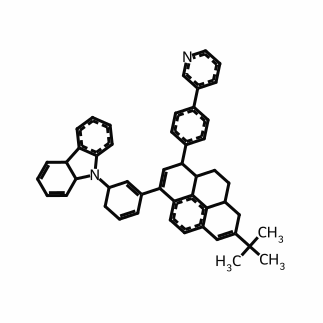 CC(C)(C)C1=Cc2ccc3c4c2C(CCC4C(c2ccc(-c4cccnc4)cc2)C=C3C2=CC(N3c4ccccc4C4C=CC=CC43)CC=C2)C1